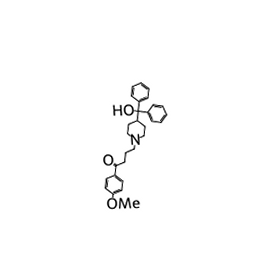 COc1ccc(C(=O)CCCN2CCC(C(O)(c3ccccc3)c3ccccc3)CC2)cc1